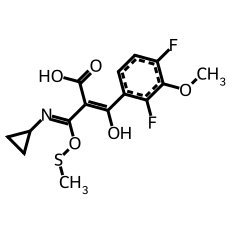 COc1c(F)ccc(C(O)=C(C(=O)O)/C(=N/C2CC2)OSC)c1F